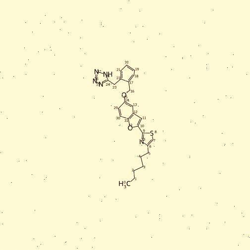 CCCCCCc1csc(-c2cc3cc(OCc4ccccc4Cc4nnn[nH]4)ccc3o2)n1